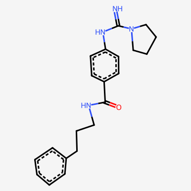 N=C(Nc1ccc(C(=O)NCCCc2ccccc2)cc1)N1CCCC1